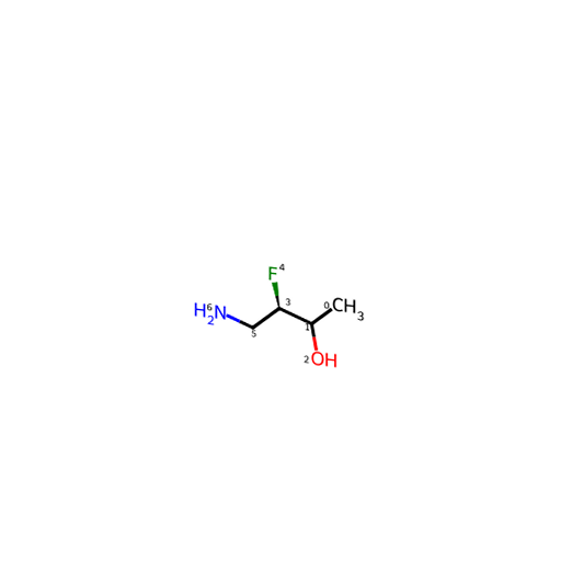 CC(O)[C@H](F)CN